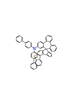 c1ccc(-c2ccc(N(c3ccc(-c4ccccc4)cc3)c3ccc4c(c3)C3(c5ccccc5-c5ccccc5-4)c4ccccc4-c4c3ccc3sc5ccccc5c43)cc2)cc1